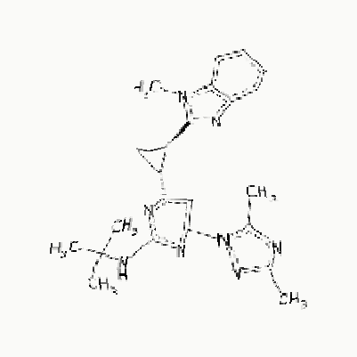 Cc1nc(C)n(-c2cc([C@@H]3C[C@H]3c3nc4ccccc4n3C)nc(NC(C)(C)C)n2)n1